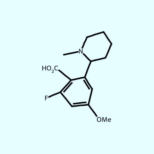 COc1cc(F)c(C(=O)O)c(C2CCCCN2C)c1